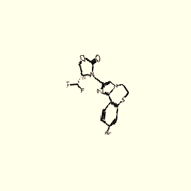 O=C1OC[C@@H](C(F)F)N1c1cn2c(n1)-c1ccc(Br)cc1SCC2